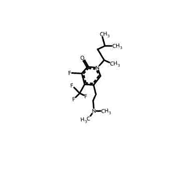 CC(C)CC(C)n1cc(CCN(C)C)c(C(F)(F)F)c(F)c1=O